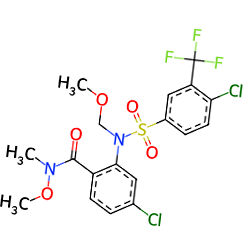 COCN(c1cc(Cl)ccc1C(=O)N(C)OC)S(=O)(=O)c1ccc(Cl)c(C(F)(F)F)c1